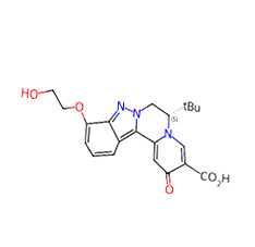 CC(C)(C)[C@H]1Cn2nc3c(OCCO)cccc3c2-c2cc(=O)c(C(=O)O)cn21